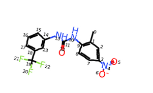 Cc1cc([N+](=O)[O-])ccc1NC(=O)Nc1cccc(C(F)(F)F)c1